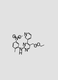 CCOOCc1cnc(Nc2cc([N+](=O)[O-])ccc2C)nc1-c1cccnc1